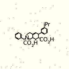 CC(C)c1cccc(C2C=C3CCN(Cc4ccccc4)CC3C(C(=O)O)C2C(=O)O)c1